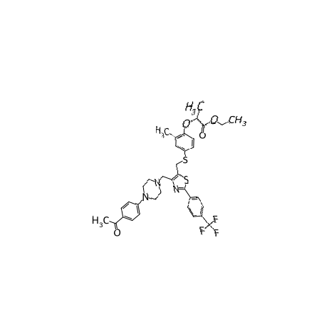 CCOC(=O)C(C)Oc1ccc(SCc2sc(-c3ccc(C(F)(F)F)cc3)nc2CN2CCN(c3ccc(C(C)=O)cc3)CC2)cc1C